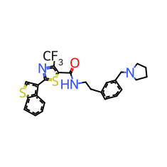 O=C(NCCc1cccc(CN2CCCC2)c1)c1sc(-c2csc3ccccc23)nc1C(F)(F)F